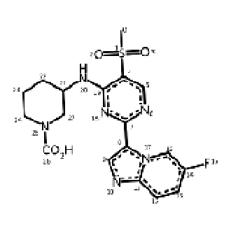 CS(=O)(=O)c1cnc(-c2cnc3ccc(F)cn23)nc1NC1CCCN(C(=O)O)C1